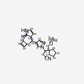 CCCCOCC1(C(CC#N)n2cc(/C(C)=C3\C=CN\C3=N\C3C=CC3)cn2)CCCC1